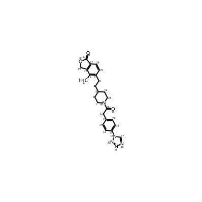 Cc1c(CCC2CCN(C(=O)Cc3ccc(-n4cnnn4)cc3)CC2)ccc2c1COC2=O